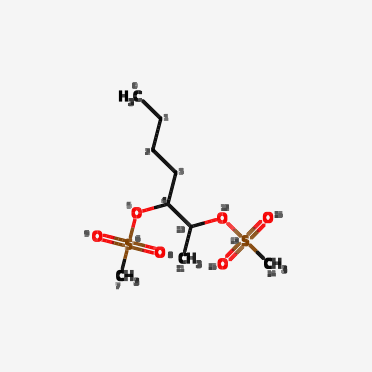 CCCCC(OS(C)(=O)=O)C(C)OS(C)(=O)=O